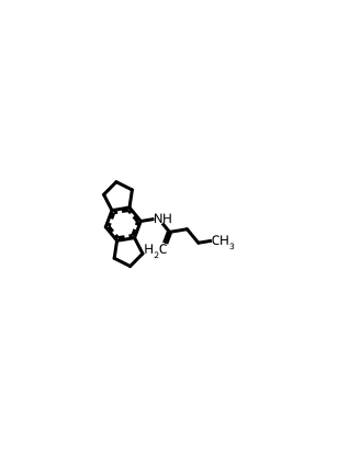 C=C(CCC)Nc1c2c(cc3c1CCC3)CCC2